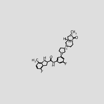 Cc1ccc(F)c2c1NC(C(=O)Nc1cc(F)cc(N3CC[C@H](N4CCN5C(=O)N(C)C[C@H]5C4)C3)c1)C2